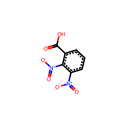 O=C(O)c1[c]ccc([N+](=O)[O-])c1[N+](=O)[O-]